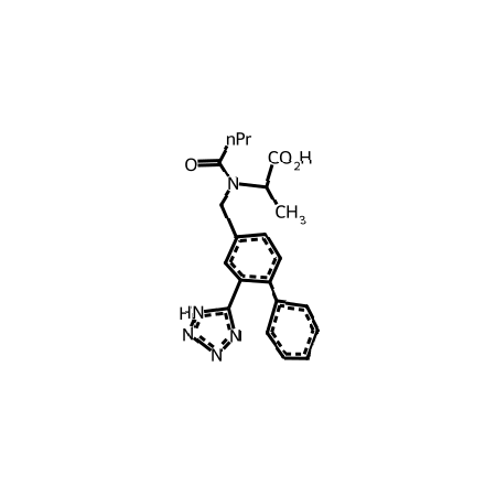 CCCC(=O)N(Cc1ccc(-c2ccccc2)c(-c2nnn[nH]2)c1)C(C)C(=O)O